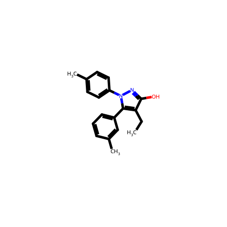 CCc1c(O)nn(-c2ccc(C)cc2)c1-c1cccc(C)c1